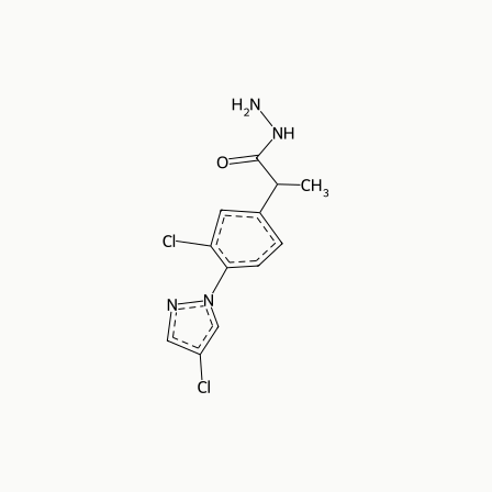 CC(C(=O)NN)c1ccc(-n2cc(Cl)cn2)c(Cl)c1